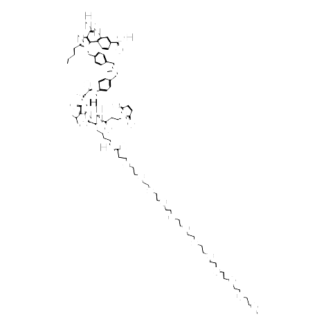 CCCCc1nc2c(N)nc3cc(C(=O)O)ccc3c2n1Cc1ccc(C[N+](C)(C)Cc2ccc(NC(=O)[C@H](C)NC(=O)[C@@H](NC(=O)[C@H](CCCCNC(=O)CCOCCOCCOCCOCCOCCOCCOCCOCCOCCOCCOCCOC)NC(=O)CCN3C(=O)C=CC3=O)C(C)C)cc2)cc1